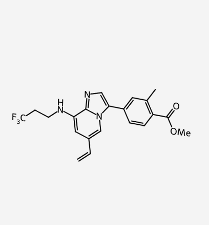 C=Cc1cc(NCCC(F)(F)F)c2ncc(-c3ccc(C(=O)OC)c(C)c3)n2c1